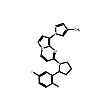 Cc1cnn(-c2cnn3ccc(N4CCCC4c4cc(F)ccc4F)nc23)c1